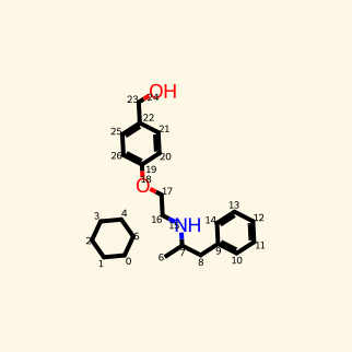 C1CCCCC1.CC(Cc1ccccc1)NCCOc1ccc(CO)cc1